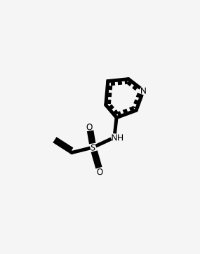 C=CS(=O)(=O)Nc1cccnc1